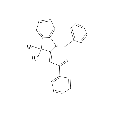 CC1(C)C(=CC(=O)c2ccccc2)N(Cc2ccccc2)c2ccccc21